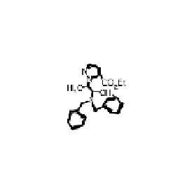 CCOC(=O)c1ccnn1[C@H](C)[C@@H](C)N(Cc1ccccc1)Cc1ccccc1